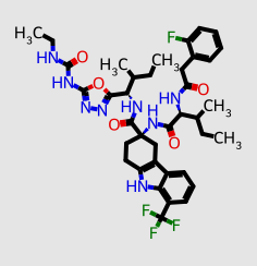 CCNC(=O)Nc1nnc([C@@H](NC(=O)[C@@]2(NC(=O)[C@@H](NC(=O)Cc3ccccc3F)C(C)CC)CCc3[nH]c4c(C(F)(F)F)cccc4c3C2)C(C)CC)o1